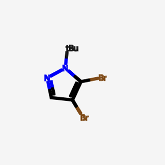 CC(C)(C)n1ncc(Br)c1Br